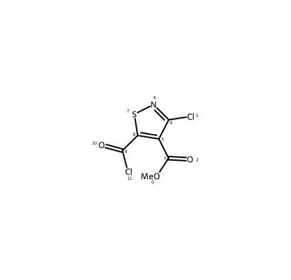 COC(=O)c1c(Cl)nsc1C(=O)Cl